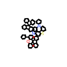 c1ccc(-c2cc(N(c3ccc4c(c3)-c3ccccc3C4(c3ccccc3)c3ccccc3)c3ccc4sc5cccc(N(c6ccccc6)c6ccccc6)c5c4c3)cc3c2Oc2ccccc2C32c3ccccc3-c3ccccc32)cc1